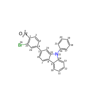 O=[N+]([O-])c1ccc(-c2ccc3c4ccccc4n(-c4ccccc4)c3c2)cc1Br